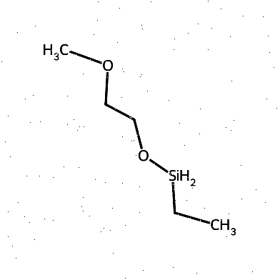 CC[SiH2]OCCOC